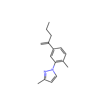 C=C(CCC)c1ccc(C)c(-n2ccc(C)n2)c1